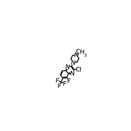 CN1CCN(c2nc3ccc(C(F)(F)F)c(F)c3nc2Cl)CC1